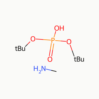 CC(C)(C)OP(=O)(O)OC(C)(C)C.CN